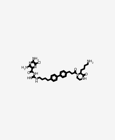 N=C(NCCCCc1ccc(-c2ccc(CCC(=O)N3CCNC(=O)C3CCCCN)cc2)cc1)NC(=O)c1nc(Cl)c(N)nc1N